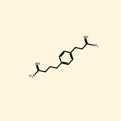 N=C(N)CCCc1ccc(CCC(=N)N)cc1